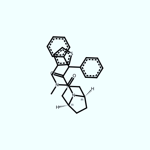 CN(Cc1ccsc1)C(=O)N1[C@@H]2CC[C@H]1CN(C(=O)C(c1ccccc1)c1ccccc1)C2